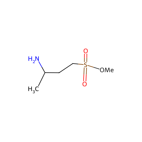 COS(=O)(=O)CCC(C)N